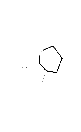 O[C@@H]1OCCC[C@@H]1O